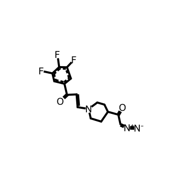 [N-]=[N+]=CC(=O)C1CCN(C=CC(=O)c2cc(F)c(F)c(F)c2)CC1